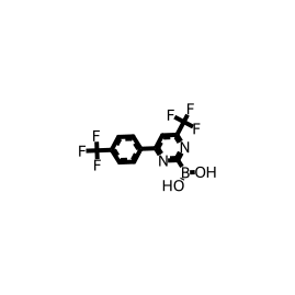 OB(O)c1nc(-c2ccc(C(F)(F)F)cc2)cc(C(F)(F)F)n1